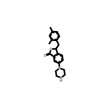 Cc1ccc(CC2OC(=O)c3cc(N4CCNCC4)ccc32)c(C)c1